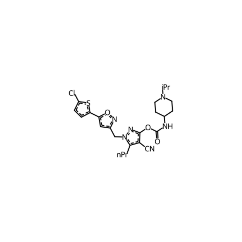 CCCc1c(C#N)c(OC(=O)NC2CCN(C(C)C)CC2)nn1Cc1cc(-c2ccc(Cl)s2)on1